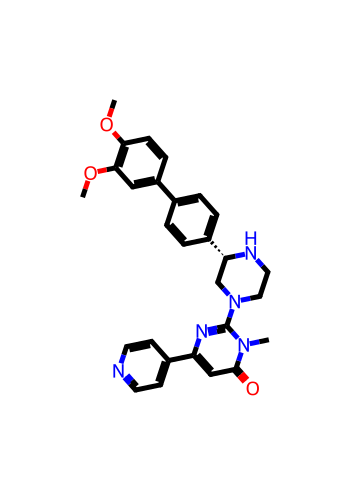 COc1ccc(-c2ccc([C@H]3CN(c4nc(-c5ccncc5)cc(=O)n4C)CCN3)cc2)cc1OC